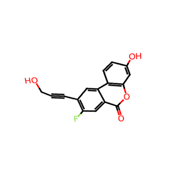 O=c1oc2cc(O)ccc2c2cc(C#CCO)c(F)cc12